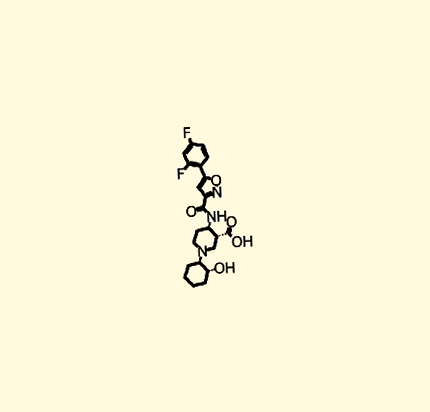 O=C(N[C@@H]1CCN([C@@H]2CCCC[C@H]2O)C[C@H]1C(=O)O)c1cc(-c2ccc(F)cc2F)on1